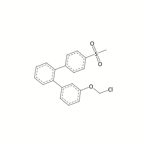 CS(=O)(=O)c1ccc(-c2ccccc2-c2cccc(OCCl)c2)cc1